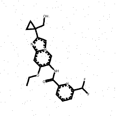 CCOc1cc2nc(C3(CO)CC3)cn2cc1NC(=O)c1cccc(C(F)F)n1